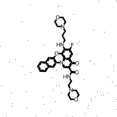 O=C(NCCN1CCOCC1)c1cn2c3c(c(NCCCN4CCOCC4)c(F)cc3c1=O)Oc1cc3ccccc3cc1-2